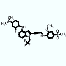 COc1cc(S(C)(=O)=O)ccc1NCC#Cc1cc2c(NC3CCC(N(C)C)CC3F)cccc2n1CC(F)(F)F